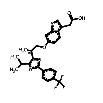 CC(C)c1nc(-c2ccc(C(F)(F)F)cc2)sc1[C@@H](C)COc1ccc2c(CC(=O)O)csc2c1